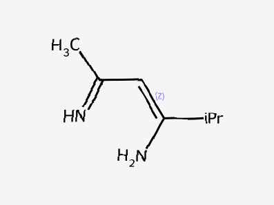 CC(=N)/C=C(\N)C(C)C